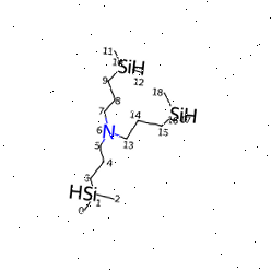 C[SiH](C)CCCN(CCC[SiH](C)C)CCC[SiH](C)C